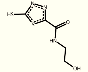 O=C(NCCO)c1nnc(S)s1